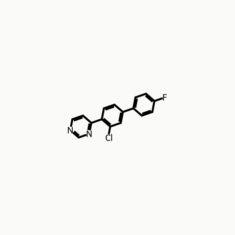 Fc1ccc(-c2ccc(-c3ccncn3)c(Cl)c2)cc1